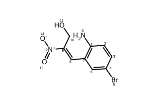 Nc1ccc(Br)cc1/C=C(\CO)[N+](=O)[O-]